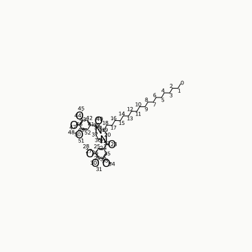 CCCCCCCCCCCCCCCCCCCC1CN(C(=O)c2cc(OC)c(OC)c(OC)c2)CCN1C(=O)c1cc(OC)c(OC)c(OC)c1